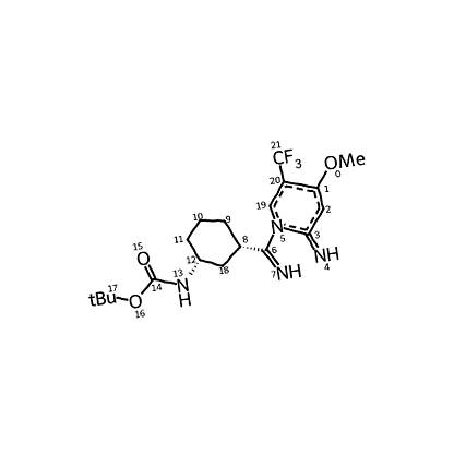 COc1cc(=N)n(C(=N)[C@H]2CCC[C@@H](NC(=O)OC(C)(C)C)C2)cc1C(F)(F)F